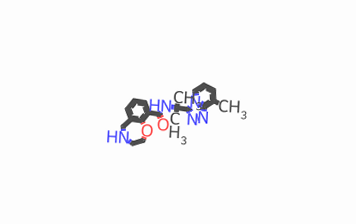 Cc1cccn2c(C(C)(C)NC(=O)c3cccc4c3OCCNC4)nnc12